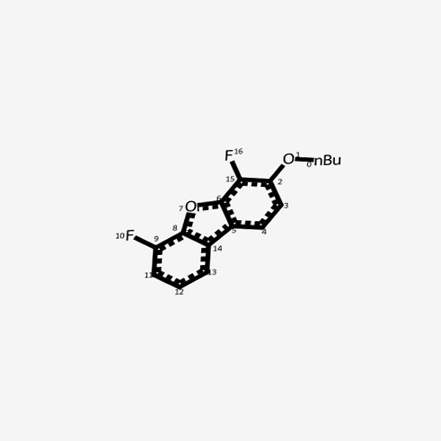 CCCCOc1ccc2c(oc3c(F)cccc32)c1F